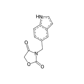 O=C1COC(=O)N1Cc1ccc2[nH]ccc2c1